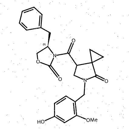 COc1cc(O)ccc1CN1CC(C(=O)N2C(=O)OC[C@H]2Cc2ccccc2)C2(CC2)C1=O